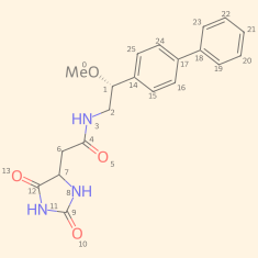 CO[C@@H](CNC(=O)CC1NC(=O)NC1=O)c1ccc(-c2ccccc2)cc1